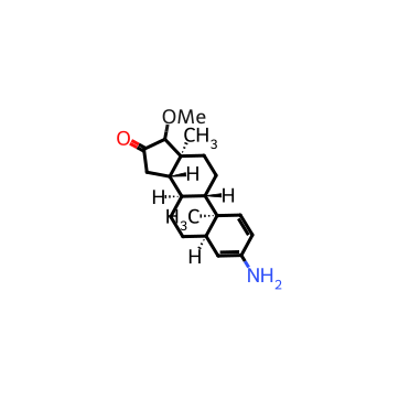 COC1C(=O)C[C@H]2[C@@H]3CC[C@@H]4C=C(N)C=C[C@]4(C)[C@H]3CC[C@]12C